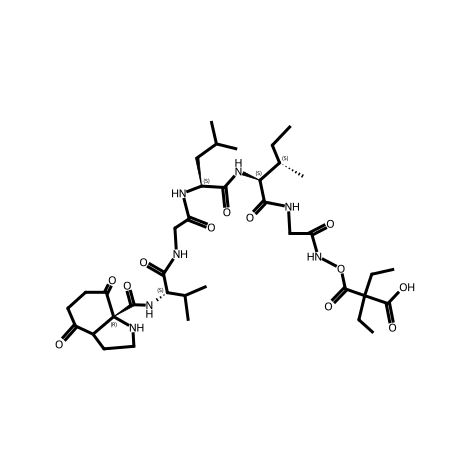 CC[C@H](C)[C@H](NC(=O)[C@H](CC(C)C)NC(=O)CNC(=O)[C@@H](NC(=O)[C@@]12NCCC1C(=O)CCC2=O)C(C)C)C(=O)NCC(=O)NOC(=O)C(CC)(CC)C(=O)O